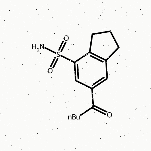 [CH2]CCCC(=O)c1cc2c(c(S(N)(=O)=O)c1)CCC2